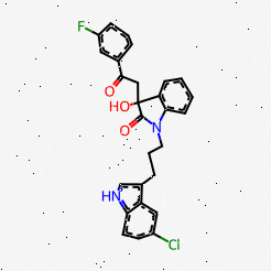 O=C(CC1(O)C(=O)N(CCCc2c[nH]c3ccc(Cl)cc23)c2ccccc21)c1cccc(F)c1